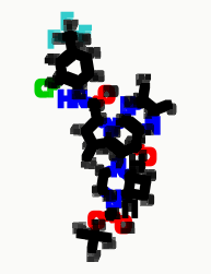 Cc1nc2c(=O)c(N3CCN(C(=O)OC(C)(C)C)[C@H]4CC[C@@H]43)c3n(c2nc1C)C(C(=O)Nc1ccc(C(F)(F)F)cc1Cl)CC3C